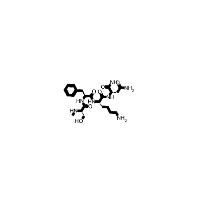 CN[C@@H](CO)C(=O)N[C@@H](Cc1ccccc1)C(=O)N[C@@H](CCCCN)C(=O)N[C@@H](CC(N)=O)C(N)=O